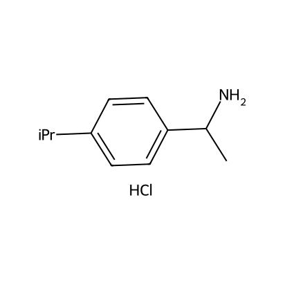 CC(C)c1ccc(C(C)N)cc1.Cl